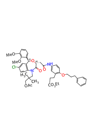 CCOC(=O)CCc1cc(NC(=O)C[C@H]2O[C@H](c3cccc(OC)c3OC)c3cc(Cl)ccc3N(CC(C)(C)COC(C)=O)C2=O)ccc1OCCCc1ccccc1